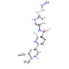 COc1cc(-c2ccc3c(n2)CN(c2ccc(OCC=N)nc2)C3=O)cnc1OC